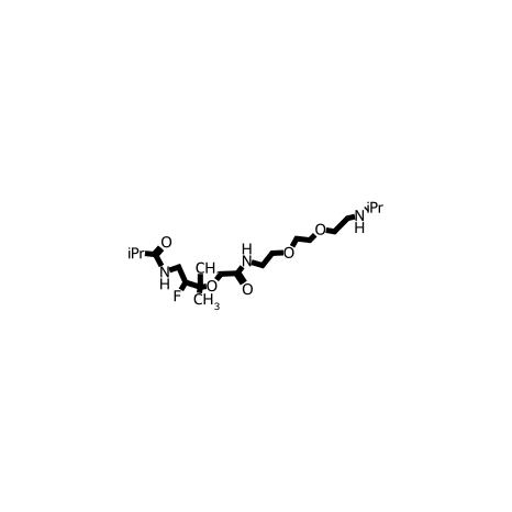 CC(C)NCCOCCOCCNC(=O)COC(C)(C)C(F)CNC(=O)C(C)C